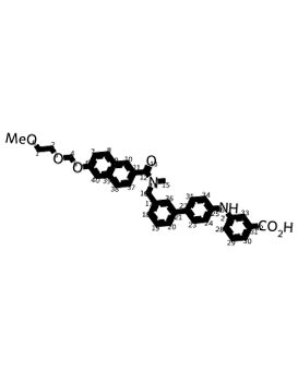 COCCOCOc1ccc2cc(C(=O)N(C)Cc3cccc(-c4ccc(Nc5cccc(C(=O)O)c5)cc4)c3)ccc2c1